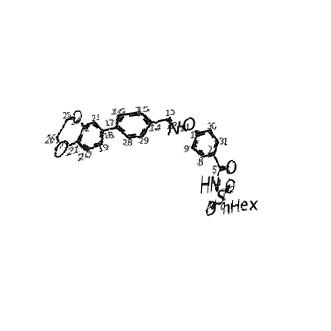 CCCCCCS(=O)(=O)NC(=O)c1ccc(O/N=C/c2ccc(-c3ccc4c(c3)OCCO4)cc2)cc1